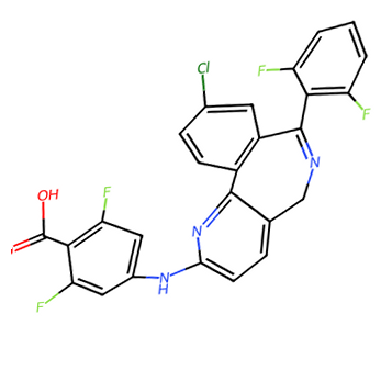 O=C(O)c1c(F)cc(Nc2ccc3c(n2)-c2ccc(Cl)cc2C(c2c(F)cccc2F)=NC3)cc1F